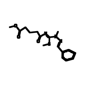 COC(=O)CCCC(=O)N=C(SC)N(C)N=Cc1ccccc1